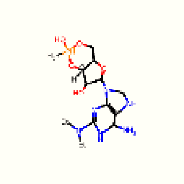 B[PH]1(O)OCC2OC(N3CNC4=C3N=C(N(CC)CC)NC4N)C(O)[C@@H]2O1